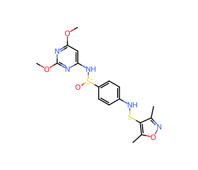 COc1cc(N[S+]([O-])c2ccc(NSc3c(C)noc3C)cc2)nc(OC)n1